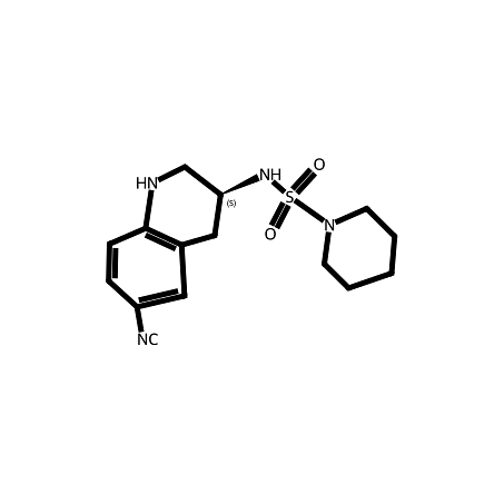 [C-]#[N+]c1ccc2c(c1)C[C@H](NS(=O)(=O)N1CCCCC1)CN2